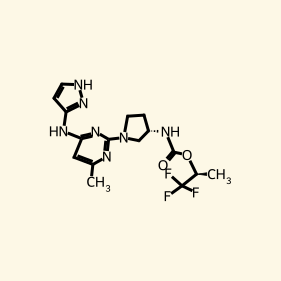 Cc1cc(Nc2cc[nH]n2)nc(N2CC[C@H](NC(=O)O[C@@H](C)C(F)(F)F)C2)n1